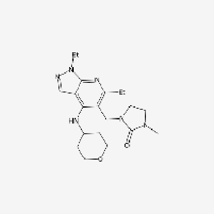 CCc1nc2c(cnn2CC)c(NC2CCOCC2)c1CN1CCN(C)C1=O